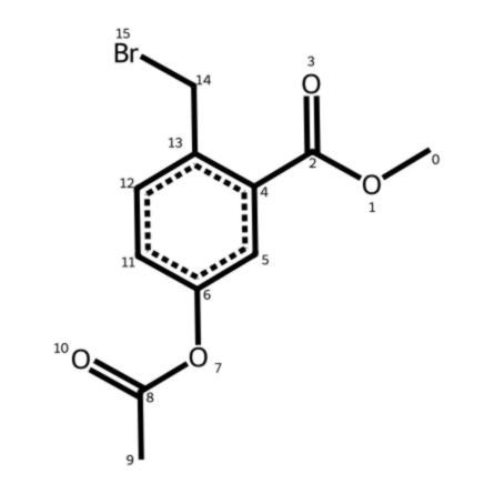 COC(=O)c1cc(OC(C)=O)ccc1CBr